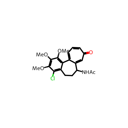 COc1c(Cl)c2c(c(OC)c1OC)-c1cccc(=O)cc1C(NC(C)=O)CC2